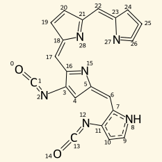 O=C=NC1=CC(=Cc2[nH]ccc2N=C=O)N=C1C=C1C=CC(C=C2C=C=C=N2)=N1